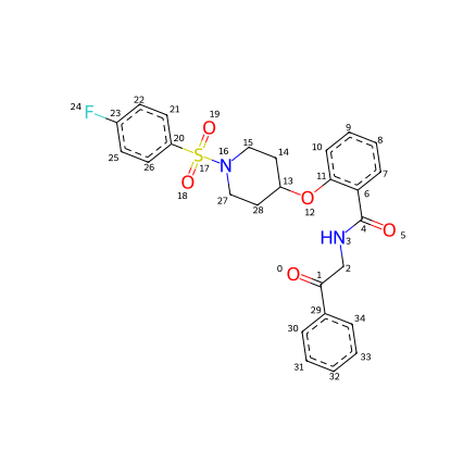 O=C(CNC(=O)c1ccccc1OC1CCN(S(=O)(=O)c2ccc(F)cc2)CC1)c1ccccc1